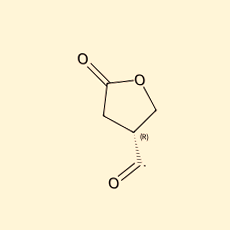 O=[C][C@H]1COC(=O)C1